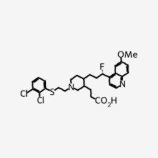 COc1ccc2nccc([C@@H](F)CCC3CCN(CCSc4cccc(Cl)c4Cl)CC3CCC(=O)O)c2c1